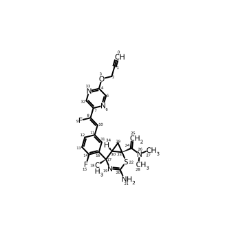 C#CCOc1cnc(/C(F)=C/c2ccc(F)c([C@@]3(C)N=C(N)S[C@@]4(C(=C)N(C)C)C[C@H]43)c2)cn1